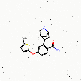 COc1ccc(Oc2ccc(C(N)=O)c(C3CC4CC3CN4)c2)s1